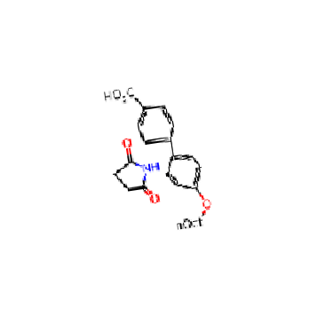 CCCCCCCCOc1ccc(-c2ccc(C(=O)O)cc2)cc1.O=C1CCC(=O)N1